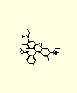 CCNc1cc2c(cc1C)C(c1ccccc1C(=O)OCC)=C1C=C(C)C(NCC)C=C1O2